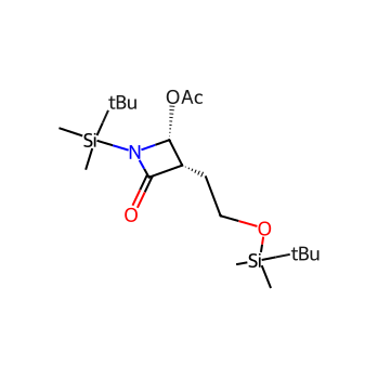 CC(=O)O[C@@H]1[C@H](CCO[Si](C)(C)C(C)(C)C)C(=O)N1[Si](C)(C)C(C)(C)C